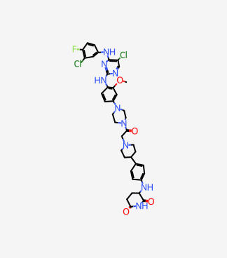 COc1cc(N2CCN(C(=O)CN3CCC(c4ccc(NC5CCC(=O)NC5=O)cc4)CC3)CC2)ccc1Nc1ncc(Cl)c(Nc2ccc(F)c(Cl)c2)n1